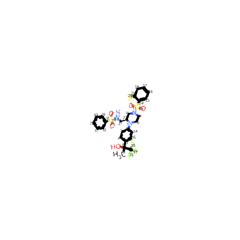 CC(O)(c1ccc(N2CCN(S(=O)(=O)C3=CC=CCC3=S)C[C@@H]2CNS(=O)(=O)c2ccccc2)cc1)C(F)(F)F